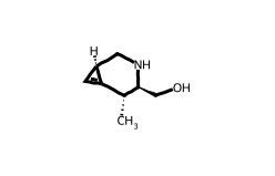 C[C@@H]1C2=C[C@H]2CN[C@H]1CO